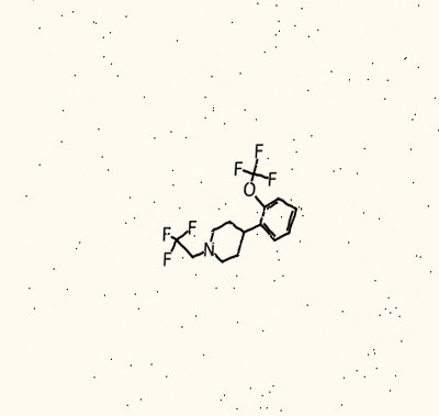 FC(F)(F)CN1CCC(c2cc[c]cc2OC(F)(F)F)CC1